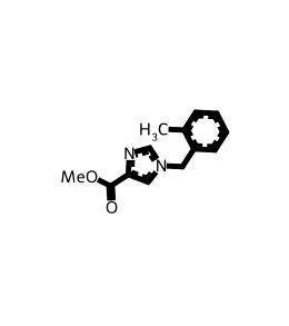 COC(=O)c1cn(Cc2ccccc2C)cn1